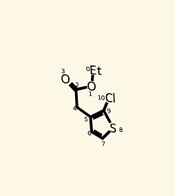 CCOC(=O)Cc1ccsc1Cl